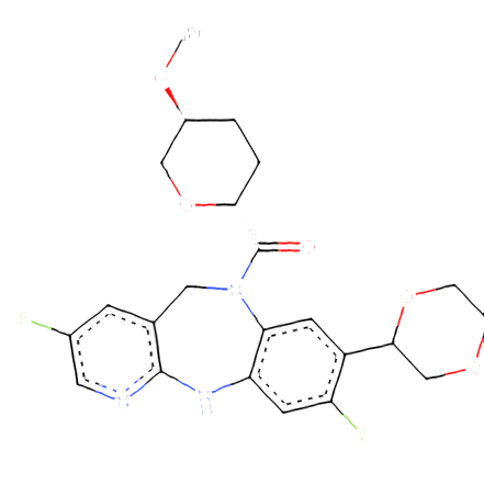 CC(C)O[C@H]1CC[C@H](C(=O)N2Cc3cc(F)cnc3Nc3cc(F)c(C4COCCO4)cc32)OC1